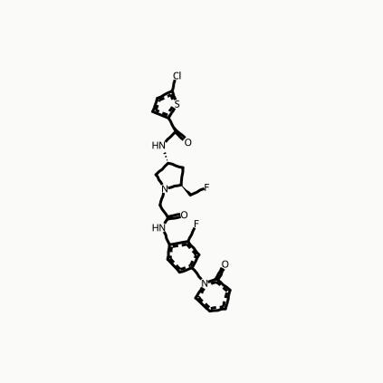 O=C(CN1C[C@H](NC(=O)c2ccc(Cl)s2)C[C@H]1CF)Nc1ccc(-n2ccccc2=O)cc1F